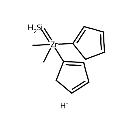 [CH3][Zr]([CH3])(=[SiH2])([C]1=CC=CC1)[C]1=CC=CC1.[H-]